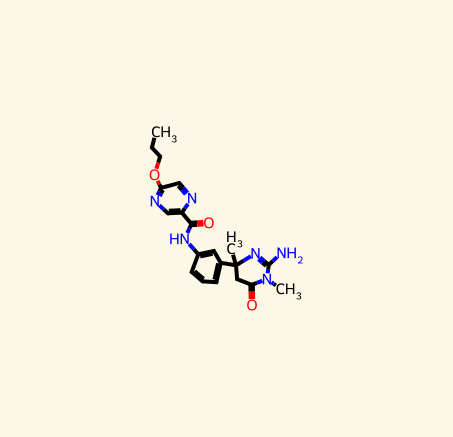 CCCOc1cnc(C(=O)Nc2cccc(C3(C)CC(=O)N(C)C(N)=N3)c2)cn1